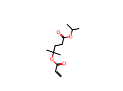 C=CC(=O)OC(C)(C)CCC(=O)OC(C)C